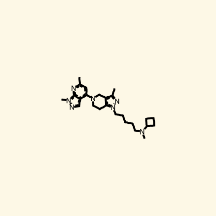 Cc1cc(N2CCc3c(c(C)nn3CCCCCN(C)C3CCC3)C2)c2cnn(C)c2n1